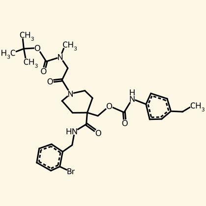 CCc1ccc(NC(=O)OCC2(C(=O)NCc3ccccc3Br)CCN(C(=O)CN(C)C(=O)OC(C)(C)C)CC2)cc1